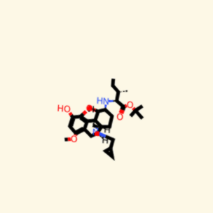 CC[C@H](C)[C@H](N[C@H]1CC[C@H]2[C@H]3Cc4c(OC)cc(O)c5c4[C@@]2(CCN3CC2CC2)[C@H]1O5)C(=O)OC(C)(C)C